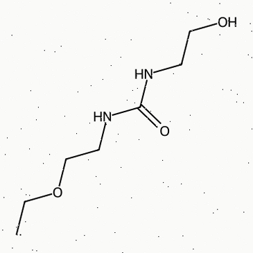 [CH2]COCCNC(=O)NCCO